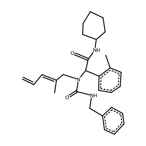 C=C/C=C(\C)CN(C(=O)NCc1ccccc1)C(C(=O)NC1CCCCC1)c1ccccc1C